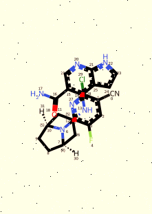 N#Cc1cc(F)c(N2[C@@H]3CC[C@H]2C[C@H](Nc2c(C(N)=O)cnc4[nH]ccc24)C3)nc1Cl